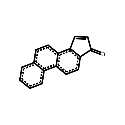 O=C1C=Cc2c1ccc1c2ccc2ccccc21